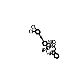 CC(C)Oc1ccc(C#Cc2ccc(Cl)c(Cl)c2)cc1C(=O)N[C@@H](CO)Cc1c[nH]c2ccccc12